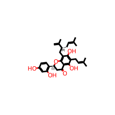 C=C(C)[C@H](CC=C(C)C)Cc1c(O)c(CC=C(C)C)c(O)c2c1O[C@H](c1ccc(O)cc1O)CC2=O